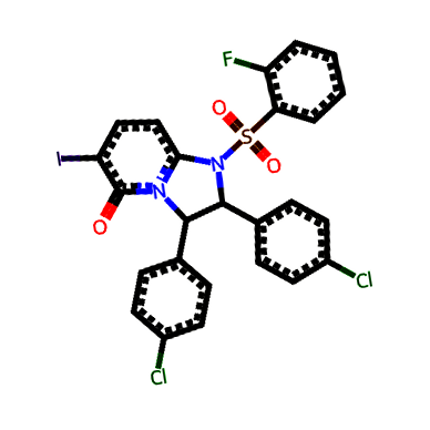 O=c1c(I)ccc2n1C(c1ccc(Cl)cc1)C(c1ccc(Cl)cc1)N2S(=O)(=O)c1ccccc1F